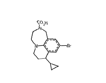 O=C(O)N1CCN2CCC(C3CC3)c3cc(Br)cc(c32)C1